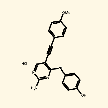 COc1ccc(C#Cc2cnc(N)nc2Nc2ccc(O)cc2)cc1.Cl